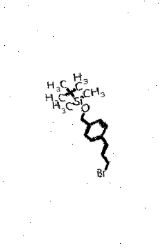 CC(C)(C)[Si](C)(C)OCc1ccc(C=CCBr)cc1